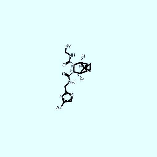 CC(=O)c1csc(CNC(=O)[C@H]2[C@H](C(=O)NCC(C)C)[C@H]3C=C[C@@H]2C32CC2)n1